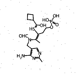 C/C(=C(CCOP(=O)(O)O)/[SH]=C(\O)C1CCC1)N(C=O)Cc1cnc(C)nc1N